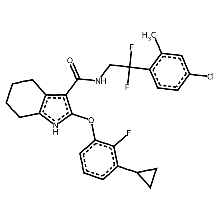 Cc1cc(Cl)ccc1C(F)(F)CNC(=O)c1c(Oc2cccc(C3CC3)c2F)[nH]c2c1CCCC2